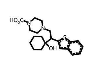 O=C(O)N1CCN(CC(c2cc3ccccc3s2)C2(O)CCCCC2)CC1